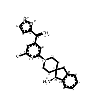 C=C(c1cc(Cl)nc(N2CCC3(CC2)Cc2ccccc2[C@H]3N)c1)c1cc[nH]n1